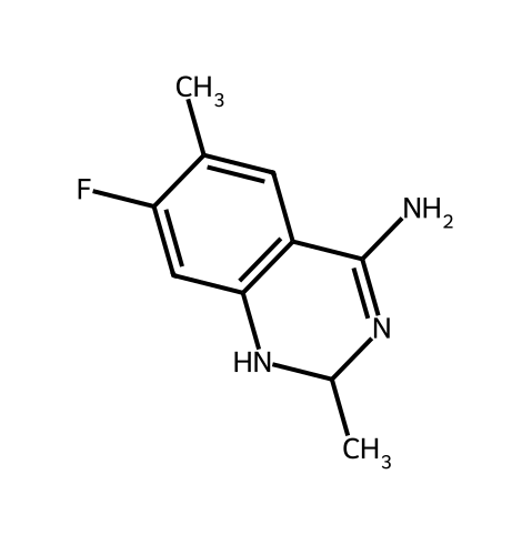 Cc1cc2c(cc1F)NC(C)N=C2N